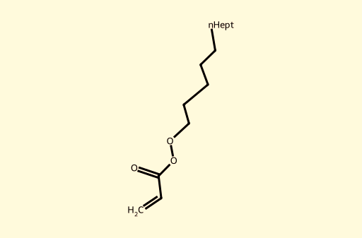 C=CC(=O)OOCCCCCCCCCCCC